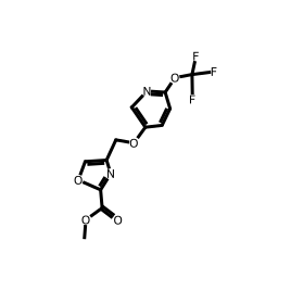 COC(=O)c1nc(COc2ccc(OC(F)(F)F)nc2)co1